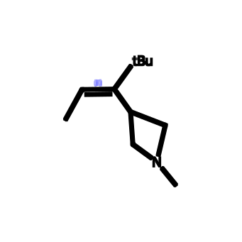 C/C=C(\C1CN(C)C1)C(C)(C)C